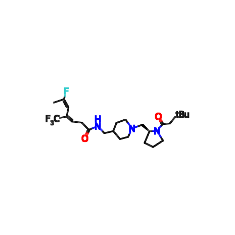 C/C(F)=C\C(=C/CC(=O)NCC1CCN(C[C@@H]2CCCN2C(=O)CC(C)(C)C)CC1)C(F)(F)F